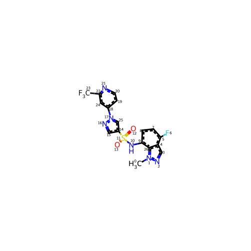 Cn1ncc2c(F)ccc(NS(=O)(=O)c3cnn(-c4ccnc(C(F)(F)F)c4)c3)c21